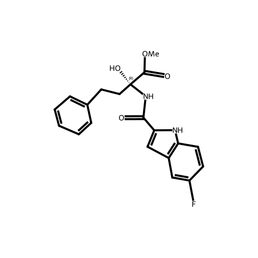 COC(=O)[C@](O)(CCc1ccccc1)NC(=O)c1cc2cc(F)ccc2[nH]1